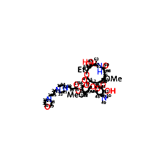 CC[C@H]1OC(=O)[C@H](C)[C@@H](O[C@H]2C[C@@](C)(OC)[C@@H](OC(=O)CCN3CCN(CCCN4CCOCC4)CC3)[C@H](C)O2)[C@H](C)[C@@H](O[C@@H]2O[C@H](C)C[C@H](N(C)C)[C@H]2O)[C@](C)(OC)C[C@@H](C)C(=O)N[C@H](C)[C@@H](O)[C@]1(C)O